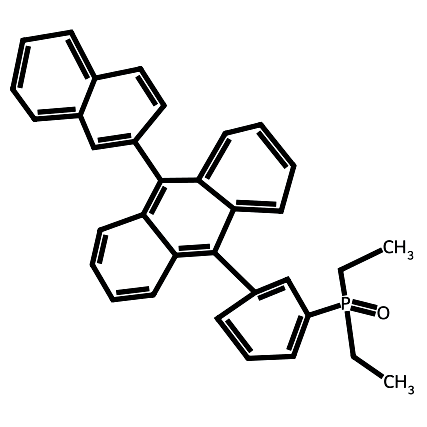 CCP(=O)(CC)c1cccc(-c2c3ccccc3c(-c3ccc4ccccc4c3)c3ccccc23)c1